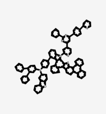 c1ccc(-c2nc(-c3ccc(-c4ccccn4)cc3)cc(-c3ccnc(-n4c5cccc(-c6ccc(N(c7ccc(-c8ccccc8)c(-c8ccccc8)c7)c7ccc8oc9ccccc9c8c7)cc6)c5c5c6ccccc6c6c7ccc8c9ccccc9c9ccccc9c8c7sc6c54)c3)n2)cc1